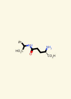 CC(C)C(NC(=O)CC[C@H](N)C(=O)O)C(=O)O